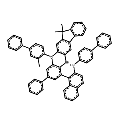 Cc1cc(-c2ccccc2)ccc1N1c2cc3c(cc2Bc2c(-c4c(Nc5ccc(-c6ccccc6)cc5)ccc5ccccc45)cc(-c4ccccc4)cc21)-c1ccccc1C3(C)C